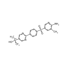 Cc1cc(S(=O)(=O)c2ccc(-c3ncc([C@@](C)(O)C(F)(F)F)cn3)cc2)cnc1N